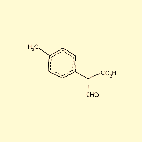 [CH2]c1ccc(C(C=O)C(=O)O)cc1